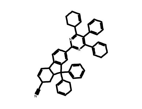 N#CC1C=CC2c3ccc(-c4nc(C5=CCCC=C5)c(-c5ccccc5)c(C5C=CCCC5)n4)cc3C(C3=CC=CCC3)(c3ccccc3)C2C1